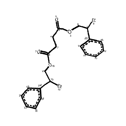 CCC(COC(=O)CCC(=O)OCC(CC)c1ccccc1)c1ccccc1